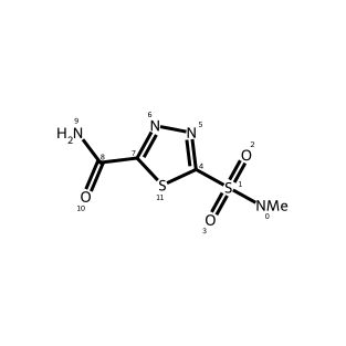 CNS(=O)(=O)c1nnc(C(N)=O)s1